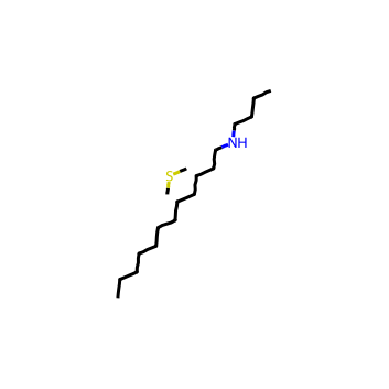 CCCCCCCCCCCCNCCCC.CSC